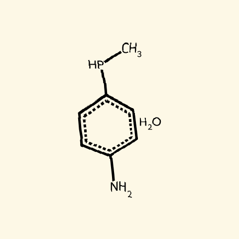 CPc1ccc(N)cc1.O